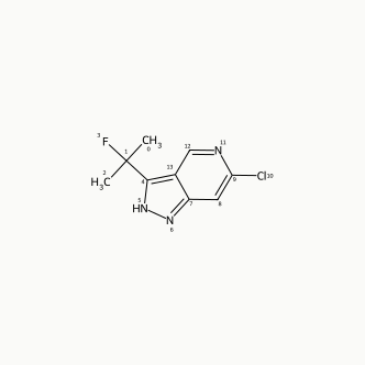 CC(C)(F)c1[nH]nc2cc(Cl)ncc12